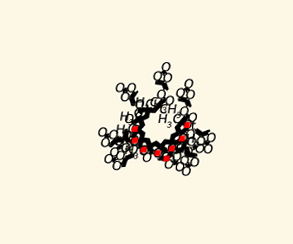 CCC(C)(CC(C)(CC(C)(CC(C)(CC(C)(CC(C)(CC(C)(CC(C)(CC(C)(CC(C)(C)C(=O)OCC1COC(=O)O1)C(=O)OCC1COC(=O)O1)C(=O)OCC1COC(=O)O1)C(=O)OCC1COC(=O)O1)C(=O)OCC1COC(=O)O1)C(=O)OCC1COC(=O)O1)C(=O)OCC1COC(=O)O1)C(=O)OCC1COC(=O)O1)C(=O)OCC1COC(=O)O1)C(=O)OCC1COC(=O)O1